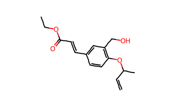 C=CC(C)Oc1ccc(/C=C/C(=O)OCC)cc1CO